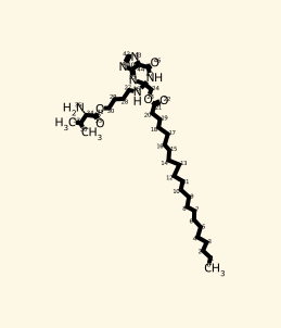 CCCCCCCCCCCCCCCCCCCCCC(=O)OCC1(NCCCCOC(=O)[C@@H](N)C(C)C)N=C2N=CN=C2C(=O)N1